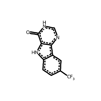 O=c1[nH]cnc2c1[nH]c1ccc(C(F)(F)F)cc12